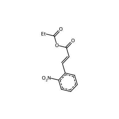 CCC(=O)OC(=O)C=Cc1ccccc1[N+](=O)[O-]